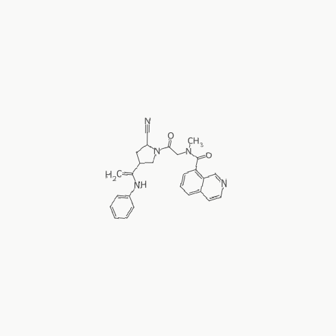 C=C(Nc1ccccc1)C1CC(C#N)N(C(=O)CN(C)C(=O)c2cccc3ccncc23)C1